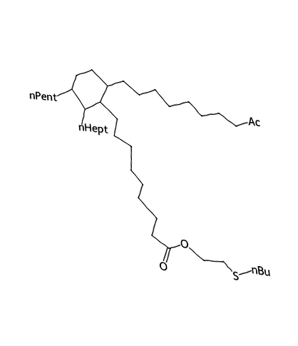 CCCCCCCC1C(CCCCC)CCC(CCCCCCCCC(C)=O)C1CCCCCCCCC(=O)OCCSCCCC